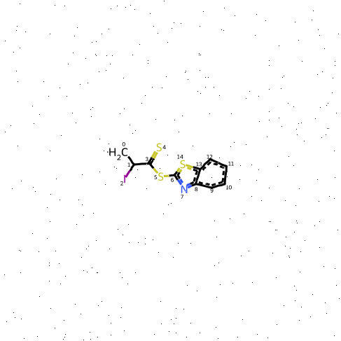 [CH2]C(I)C(=S)Sc1nc2ccccc2s1